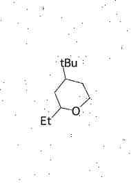 CCC1CC(C(C)(C)C)CCO1